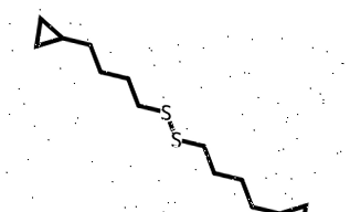 C(CCC1CC1)CSSCCCCC1CC1